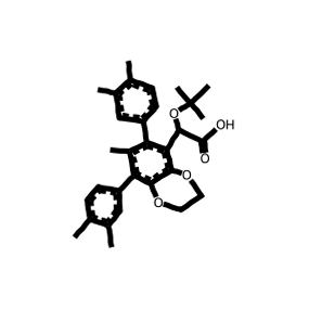 Cc1ccc(-c2c(C)c(-c3ccc(C)c(C)c3)c(C(OC(C)(C)C)C(=O)O)c3c2OCCO3)cc1C